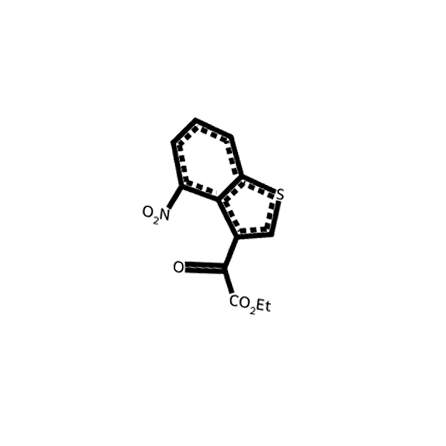 CCOC(=O)C(=O)c1csc2cccc([N+](=O)[O-])c12